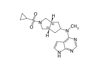 CN(c1ncnc2[nH]ccc12)C1C[C@@H]2CN(S(=O)(=O)C3CC3)C[C@@H]2C1